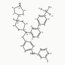 Cc1cc(Nc2ccc(CN(c3nccc(-c4ccc(C(F)(F)F)cc4)n3)C3CC[N+](C)(C4CCNCC4)CC3)cc2)ccn1